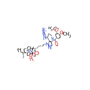 COc1ccc(C(=O)N2CCC(N=[N+]=[N-])c3c2cnn3CCCCCN(C(=O)O)C(C)(C)C)cc1OC